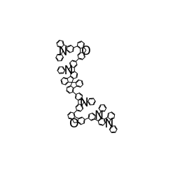 c1ccc(-n2c3ccccc3c3cc(-c4cccc5oc6ccc(-c7ccc8c(c7)c7ccc9c(c7n8-c7ccccc7)-c7ccccc7C97c8ccccc8-c8c(-c9ccc%10c(c9)c9cc(-c%11cccc%12oc%13ccc(-c%14ccc%15c(c%14)c%14ccc%16c(c%17ccccc%17n%16-c%16ccccc%16)c%14n%15-c%14ccccc%14)cc%13c%11%12)ccc9n%10-c9ccccc9)cccc87)cc6c45)ccc32)cc1